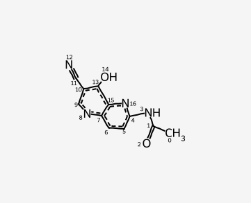 CC(=O)Nc1ccc2ncc(C#N)c(O)c2n1